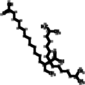 CCC(CCCCCCCCCCCCC(=O)O)C(CCCCCC(C)C)(CCCCCC(C)C)C(=O)O